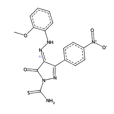 COc1ccccc1N/N=C1/C(=O)N(C(N)=S)N=C1c1ccc([N+](=O)[O-])cc1